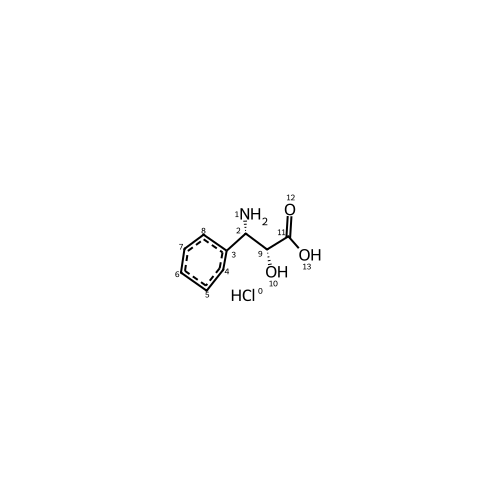 Cl.N[C@@H](c1ccccc1)[C@@H](O)C(=O)O